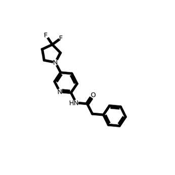 O=C(Cc1ccccc1)Nc1ccc(N2CCC(F)(F)C2)cn1